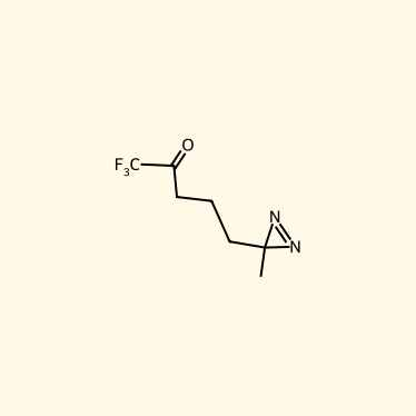 CC1(CCCC(=O)C(F)(F)F)N=N1